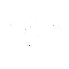 C=CC(N)=O.OCC1([C@H]2OC[C@H](O)[C@H]2O)OCCO1